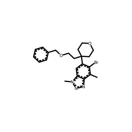 Cc1c(Br)c(C2(CCOCc3ccccc3)CCOCC2)cc2c1nnn2C